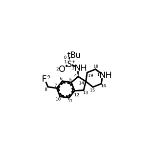 CC(C)(C)[S@@+]([O-])N[C@@H]1c2cc(CF)ccc2CC12CCNCC2